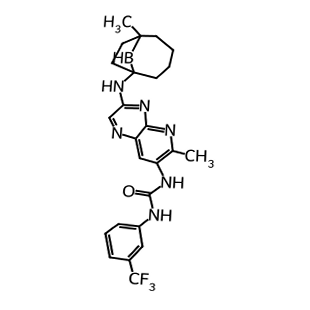 Cc1nc2nc(NC34BC(C)(CCCC3)CC4)cnc2cc1NC(=O)Nc1cccc(C(F)(F)F)c1